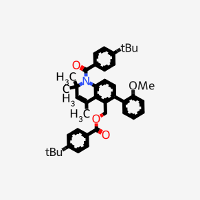 COc1ccccc1-c1ccc2c(c1COC(=O)c1ccc(C(C)(C)C)cc1)C(C)=CC(C)(C)N2C(=O)c1ccc(C(C)(C)C)cc1